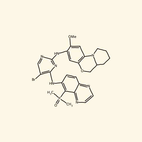 COc1cc2c(cc1Nc1ncc(Br)c(Nc3ccc4nccnc4c3P(C)(C)=O)n1)OCC1CCCCN21